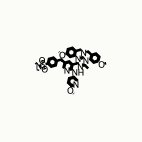 COc1ccc(CN(Cc2ccc(OC)cc2)c2nc(C)nc(-c3cc([CH]c4ccc(S(=O)(=O)N(C)C)cc4)cnc3Nc3ccc(OC)nc3)n2)cc1